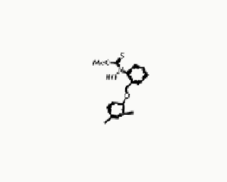 COC(=S)N(O)c1ccccc1COc1ccc(C)cc1C